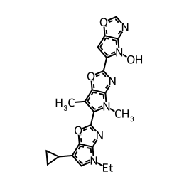 CCn1cc(C2CC2)c2oc(-c3c(C)c4oc(-c5cc6ocnc6n5O)nc4n3C)nc21